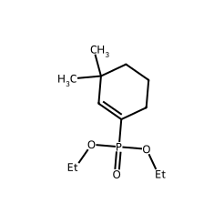 CCOP(=O)(OCC)C1=CC(C)(C)CCC1